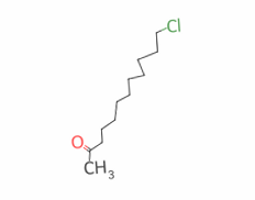 CC(=O)CCCCCCCCCCCl